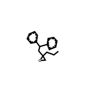 CCCC1(CC(c2ccccc2)c2ccccc2)CO1